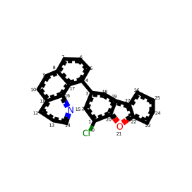 Clc1cc(-c2cccc3ccc4cccnc4c23)cc2c1oc1ccccc12